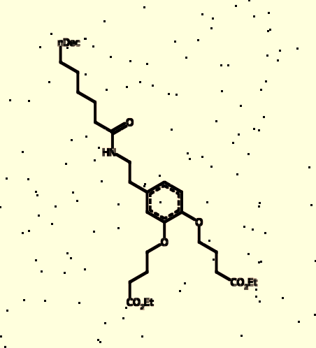 CCCCCCCCCCCCCCCC(=O)NCCc1ccc(OCCCC(=O)OCC)c(OCCCC(=O)OCC)c1